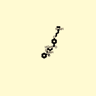 O=C(NCC(NS(=O)(=O)c1ccccc1)C(=O)O)c1ccc(OCCCc2ncc[nH]2)cc1